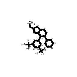 CCC1=Cc2c(ccc(-c3ccccc3)c2-c2cc(C(F)(F)F)cc(C(F)(F)F)c2)[CH]1